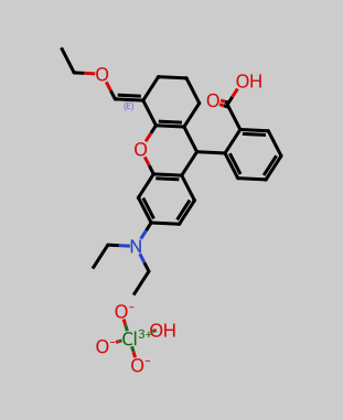 CCO/C=C1\CCCC2=C1Oc1cc(N(CC)CC)ccc1C2c1ccccc1C(=O)O.[O-][Cl+3]([O-])([O-])O